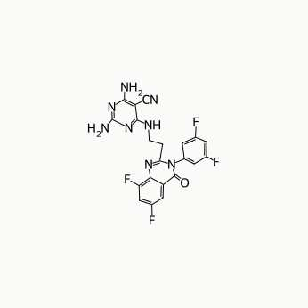 N#Cc1c(N)nc(N)nc1NCCc1nc2c(F)cc(F)cc2c(=O)n1-c1cc(F)cc(F)c1